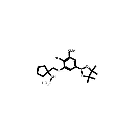 CSc1cc(B2OC(C)(C)C(C)(C)O2)cc(OCC2(NC(=O)O)CCCC2)c1C#N